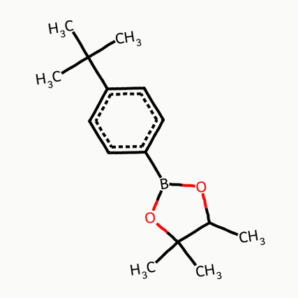 CC1OB(c2ccc(C(C)(C)C)cc2)OC1(C)C